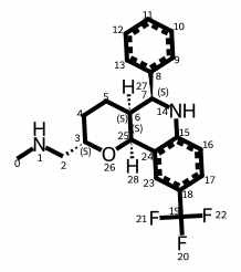 CNC[C@@H]1CC[C@H]2[C@@H](c3ccccc3)Nc3ccc(C(F)(F)F)cc3[C@H]2O1